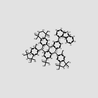 Cc1cc2c(cc1N1c3ccc(-c4cccc5sc6ccccc6c45)cc3B3c4cc5c(cc4N(c4cc6c(cc4C)C(C)(C)CC6(C)C)c4cc(C(C)(C)C)cc1c43)C(C)(C)CCC5(C)C)C(C)(C)CC2(C)C